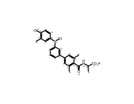 CCN(c1cccc(-c2cc(C)c(C(=O)NC(C)C(=O)O)c(C)c2)c1)c1ccc(Cl)c(C)c1